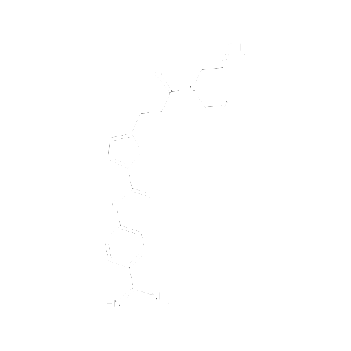 C=CCN(CC(C)=O)C(=O)CCc1ccc(C(=O)Oc2ccc(C(=N)N)cc2)o1